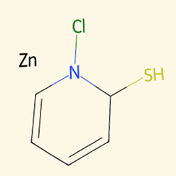 SC1C=CC=CN1Cl.[Zn]